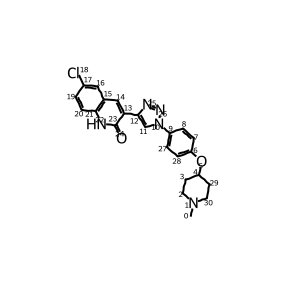 CN1CCC(Oc2ccc(-n3cc(-c4cc5cc(Cl)ccc5[nH]c4=O)nn3)cc2)CC1